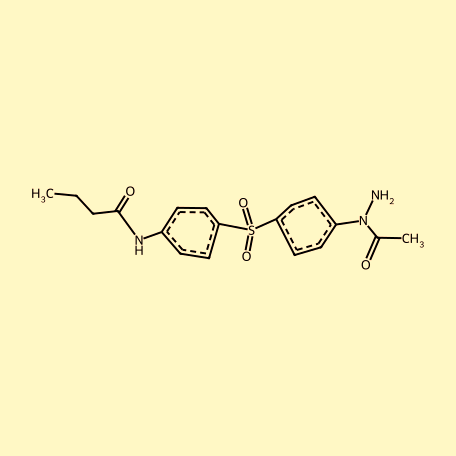 CCCC(=O)Nc1ccc(S(=O)(=O)c2ccc(N(N)C(C)=O)cc2)cc1